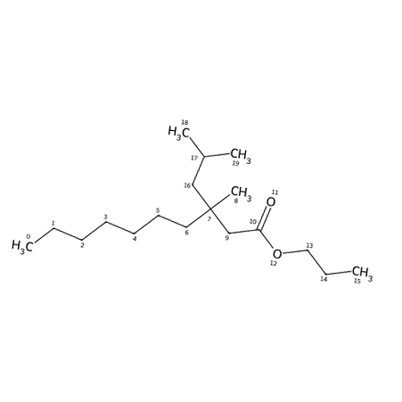 CCCCCCCC(C)(CC(=O)OCCC)CC(C)C